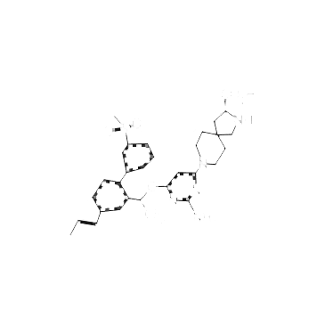 C/C=C/c1ccc(-c2cccc(S(C)(=O)=O)c2)c([C@@H](Oc2cc(N3CCC4(CC3)CN[C@H](C(=O)O)C4)nc(N)n2)C(F)(F)F)c1